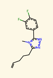 C=CCCCc1nnc(-c2ccc(F)c(F)c2)n1C